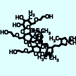 COC1OC(COCCO)C(OC2(CC3C[N+](C)(C)CC3CCC3C[N+](C)(C)CC3CCC3C[N+](C)(C)CC3C)OC(COCCO)C(OC3OC(COCCO)C(C)C(O)C3O)C(O)C2O)C(O)C1O